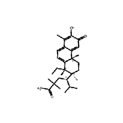 CC[C@]1(C)C2=CC=C3C(=CC(=O)C(O)=C3C)[C@]2(C)CC[C@@]1(C)[C@H](CC(C)(C)C(N)=O)C(C)C